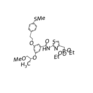 CCOP(=O)(Cc1csc(NC(=O)c2cc(OCCc3ccc(SC)cc3)cc(O[C@@H](C)COC)c2)n1)OCC